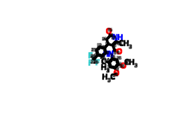 COc1cc(C)c(NC(=O)C2=C(C)NC(=O)CC2c2ccc(C(F)(F)F)cc2)cc1OC